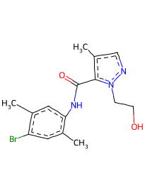 Cc1cc(NC(=O)c2c(C)cnn2CCO)c(C)cc1Br